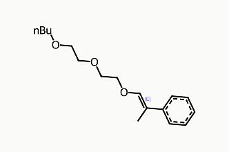 CCCCOCCOCCO/C=C(\C)c1ccccc1